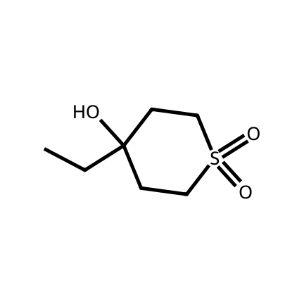 CCC1(O)CCS(=O)(=O)CC1